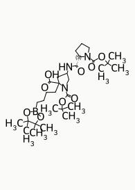 CC(C)(C)OC(=O)N1CCC[C@H]1C(=O)NC1CN(C(=O)OC(C)(C)C)C(CCCCB2OC(C)(C)C(C)(C)O2)(C(=O)O)C1